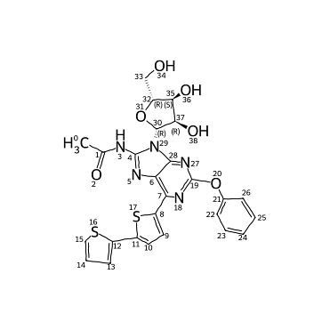 CC(=O)Nc1nc2c(-c3ccc(-c4cccs4)s3)nc(Oc3ccccc3)nc2n1[C@@H]1O[C@H](CO)[C@@H](O)[C@H]1O